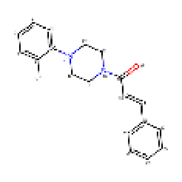 Cc1ccccc1N1CCN(C(=O)/C=C/c2ccccc2)CC1